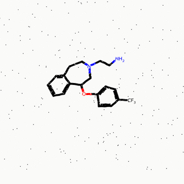 NCCN1CCc2ccccc2C(Oc2ccc(C(F)(F)F)cc2)C1